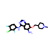 CN1CCC(COc2cc3ncnc(Nc4ccc(F)c(Cl)c4F)c3cc2N)CC1